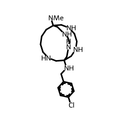 CNC12CCCCNCC(NCc3ccc(Cl)cc3)(CNCCNC1)CNCCNC2